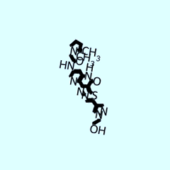 CC1(C)CCCN1CC(=O)Nc1cnc2c(c1)[nH]c(=O)c1c2nn2cc(-c3cnn(CCO)c3)sc12